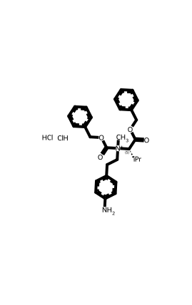 CC(C)[C@@H](C(=O)OCc1ccccc1)[N+](C)(CCc1ccc(N)cc1)C(=O)OCc1ccccc1.Cl.Cl